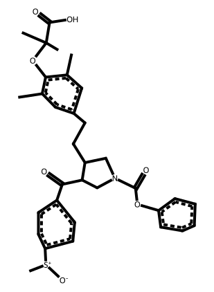 Cc1cc(CCC2CN(C(=O)Oc3ccccc3)CC2C(=O)c2ccc([S+](C)[O-])cc2)cc(C)c1OC(C)(C)C(=O)O